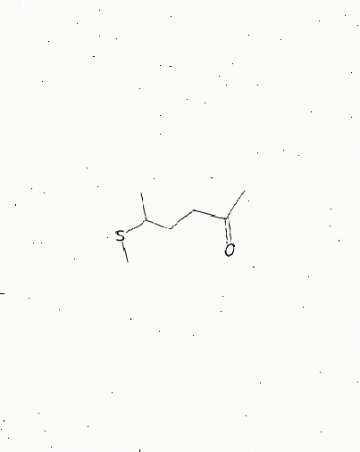 CSC(C)CCC(C)=O